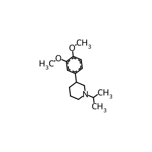 COc1ccc(C2CCCN(C(C)C)C2)cc1OC